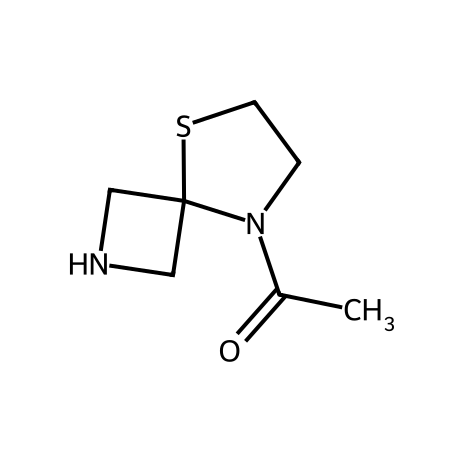 CC(=O)N1CCSC12CNC2